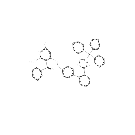 CCc1cc(OCc2ccc(-c3ccccc3-c3nnn(C(c4ccccc4)(c4ccccc4)c4ccccc4)n3)cc2)c(C(=O)c2ccccc2)c(C)n1